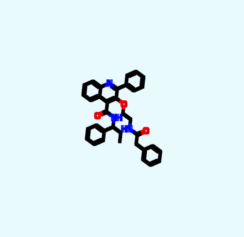 CCC(NC(=O)c1c(OCCNC(=O)Cc2ccccc2)c(-c2ccccc2)nc2ccccc12)c1ccccc1